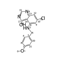 COc1ccc(CNc2cc(Cl)cc3ncnc(O)c23)cc1